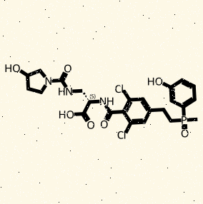 CP(=O)(CCc1cc(Cl)c(C(=O)N[C@@H](CNC(=O)N2CCC(O)C2)C(=O)O)c(Cl)c1)c1cccc(O)c1